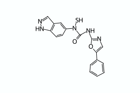 O=C(Nc1ncc(-c2ccccc2)o1)N(S)c1ccc2[nH]ncc2c1